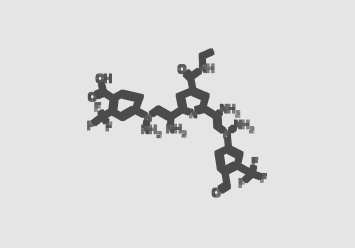 CCNC(=O)c1cc(/C(N)=C/N(N)c2ccc(C=O)c(C(F)(F)F)c2)nc(/C(N)=C/N(N)c2ccc(C(=O)O)c(C(F)(F)F)c2)c1